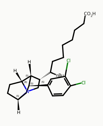 CCCCC(CCCCCCC(=O)O)[C@@H]1CN2[C@H]3CC[C@@H]2[C@H]1[C@@H](c1ccc(Cl)c(Cl)c1)C3